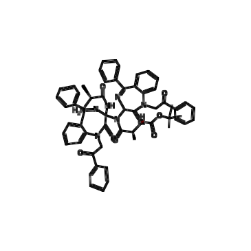 C[C@H](N)C(=O)NC1(N(C(=O)[C@H](C)NC(=O)OC(C)(C)C)C2N=C(c3ccccc3)c3ccccc3N(CC(=O)c3ccccc3)C2=O)N=C(c2ccccc2)c2ccccc2N(CC(=O)c2ccccc2)C1=O